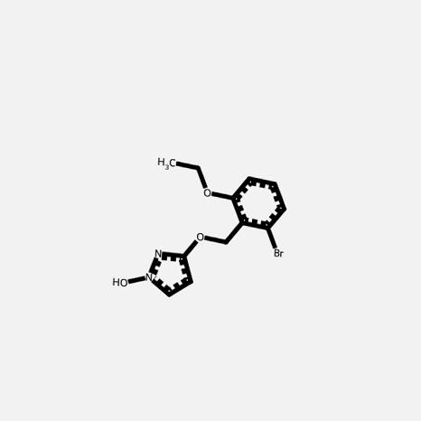 CCOc1cccc(Br)c1COc1ccn(O)n1